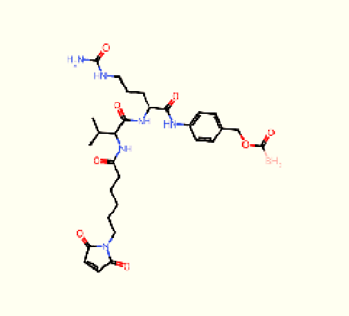 BC(=O)OCc1ccc(NC(=O)[C@H](CCCNC(N)=O)NC(=O)C(NC(=O)CCCCCN2C(=O)C=CC2=O)C(C)C)cc1